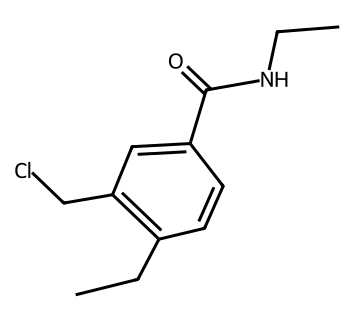 CCNC(=O)c1ccc(CC)c(CCl)c1